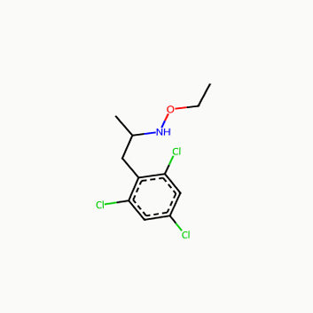 CCONC(C)Cc1c(Cl)cc(Cl)cc1Cl